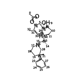 CC(=O)O[C@@H]1[C][C@@]2(O)[C@H](C)CC[C@@H]([C@H](C)CN3CCC[C@@](C)(c4ccccc4)C3)[C@H]2C=C1C